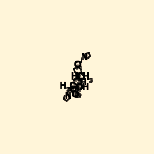 C[C@]12CC[C@H]3[C@@H](CC=C4C[C@@H](OCCN5CCCC5)CC[C@@]43C)[C@@]1(O)CC[C@@]2(OCCN1CCCC1)c1ccco1